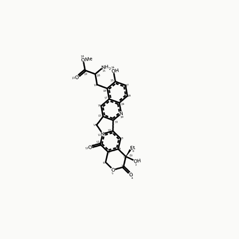 CC[C@@]1(O)C(=O)OCc2c1cc1n(c2=O)Cc2cc3c(CC(N)C(=O)OC)c(O)ccc3nc2-1